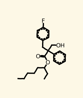 CCCCCC(CC)OC(=O)C(CO)(Cc1ccc(F)cc1)c1ccccc1